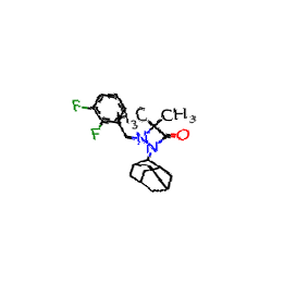 CC1(C)C(=O)N(C2C3CC4CC(C3)CC2C4)N1Cc1cccc(F)c1F